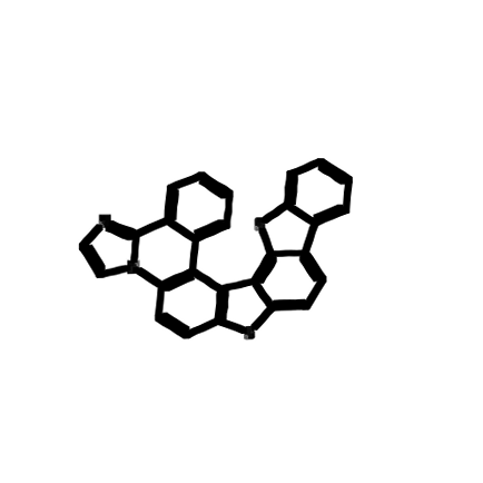 c1ccc2c(c1)sc1c2ccc2sc3ccc4c(c5ccccc5c5nccn45)c3c21